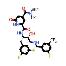 CCCN(CCC)C(=O)c1cc(C(=O)N[C@@H](Cc2cc(F)cc(F)c2)[C@H](O)CNCc2cc(F)cc(C(F)(F)F)c2)[nH]c(=O)c1